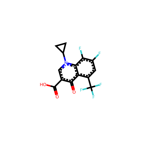 O=C(O)c1cn(C2CC2)c2c(F)c(F)cc(C(F)(F)F)c2c1=O